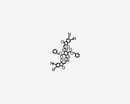 N#Cc1cc2c(cc1C#N)C(=O)C(=Cc1nc3c(C(=O)OCc4ccccc4)c4sc5nc(C=C6C(=O)c7cc(C#N)c(C#N)cc7C6=O)sc5c4c(C(=O)OCc4ccccc4)c3s1)C2=O